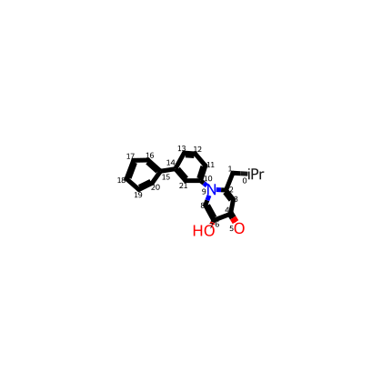 CC(C)Cc1cc(=O)c(O)cn1-c1cccc(-c2ccccc2)c1